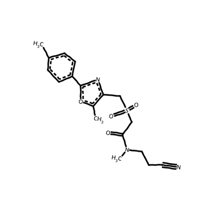 Cc1ccc(-c2nc(CS(=O)(=O)CC(=O)N(C)CCC#N)c(C)o2)cc1